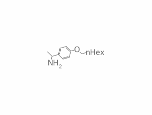 CCCCCCCOc1ccc(C(C)N)cc1